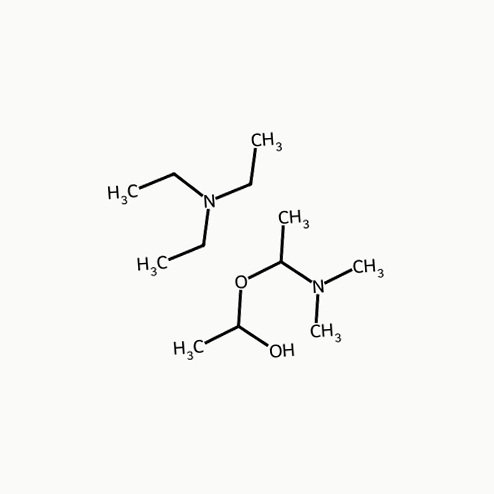 CC(O)OC(C)N(C)C.CCN(CC)CC